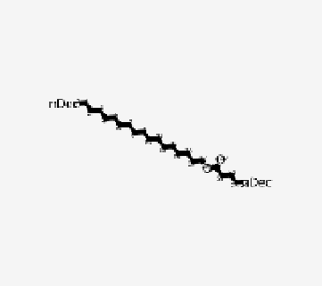 CCCCCCCCCCCCCCCCCCCCCCCCCCCOC(=O)CCCCCCCCCCCCC